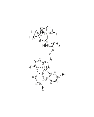 C=C(CCCCC[PH](c1cccc(F)c1)(c1cccc(F)c1)c1cccc(F)c1)NC1CC(C)(C)N(C)C(C)(C)C1